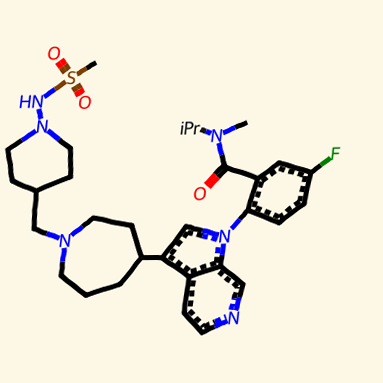 CC(C)N(C)C(=O)c1cc(F)ccc1-n1cc(C2CCCN(CC3CCN(NS(C)(=O)=O)CC3)CC2)c2ccncc21